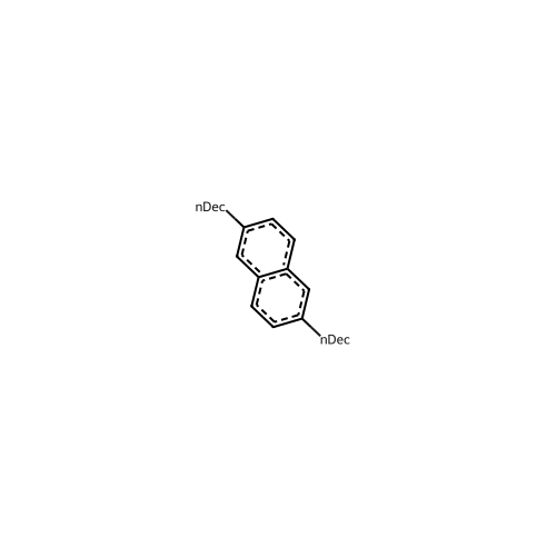 CCCCCCCCCCc1ccc2cc(CCCCCCCCCC)ccc2c1